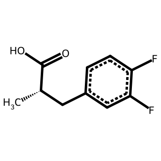 C[C@@H](Cc1ccc(F)c(F)c1)C(=O)O